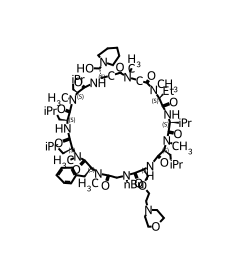 CCCCN1CC(=O)N(C)[C@@H](Cc2ccccc2)C(=O)N(C)[C@@H](CC(C)C)C(=O)N[C@@H](CC(C)C)C(=O)N(C)[C@@H](CC(C)C)C(=O)N[C@H](C(O)N2CCCCC2)CC(=O)N(C)CC(=O)N(C)[C@@H](CC)C(=O)N[C@@H](C(C)C)C(=O)N(C)[C@@H](CC(C)C)C(=O)N[C@@H](COCCN2CCOCC2)C1=O